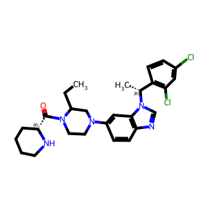 CCC1CN(c2ccc3ncn([C@H](C)c4ccc(Cl)cc4Cl)c3c2)CCN1C(=O)[C@H]1CCCCN1